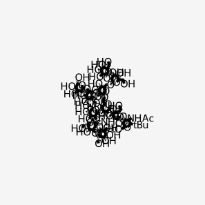 CC(=O)NC1C(C(C)(C)C)OC(CO)[C@@H](O[C@@H]2OC(CO)[C@@H](O[C@@H]3OC(CO[C@H]4OC(CO[C@@H]5OC(CO)[C@@H](O)[C@H](O)C5O[C@H]5OC(CO)[C@@H](O)[C@H](O)C5O)[C@@H](O)[C@H](O[C@H]5O[C@@H](CO)[C@@H](O)C(O)C5O[C@H]5O[C@@H](CO)[C@@H](O)C(O)C5O)C4O)[C@@H](O)[C@H](O[C@H]4O[C@@H](CO)[C@@H](O)C(O)C4O[C@H]4O[C@@H](CO)[C@@H](O)C(O)C4O[C@H]4O[C@@H](CO)[C@@H](O)C(O)C4O)C3O)[C@H](O)C2NC(C)=O)[C@@H]1O